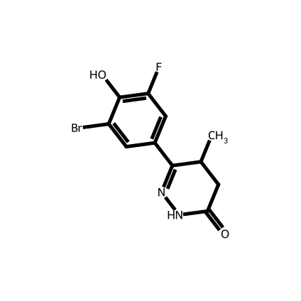 CC1CC(=O)NN=C1c1cc(F)c(O)c(Br)c1